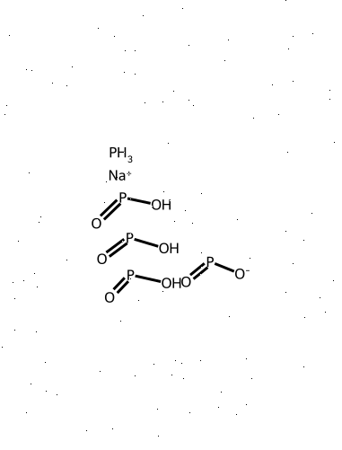 O=PO.O=PO.O=PO.O=P[O-].P.[Na+]